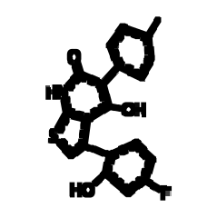 Cc1ccc(-c2c(O)c3c(-c4ccc(F)cc4O)csc3[nH]c2=O)cc1